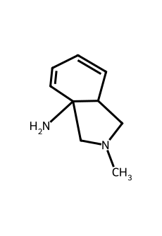 CN1CC2C=CC=CC2(N)C1